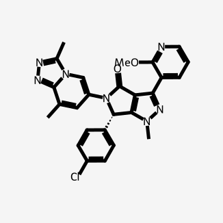 COc1ncccc1-c1nn(C)c2c1C(=O)N(c1cc(C)c3nnc(C)n3c1)[C@H]2c1ccc(Cl)cc1